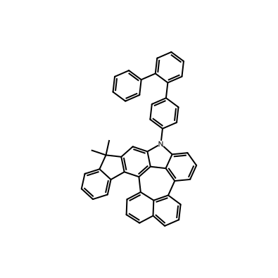 CC1(C)c2ccccc2-c2c1cc1c3c2-c2cccc4cccc(c24)-c2cccc(c23)n1-c1ccc(-c2ccccc2-c2ccccc2)cc1